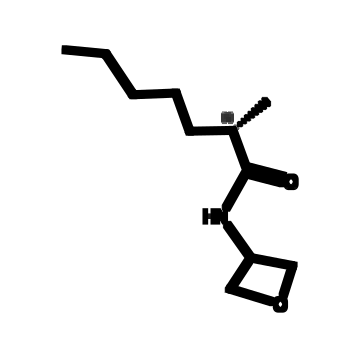 CCCCC[C@H](C)C(=O)NC1COC1